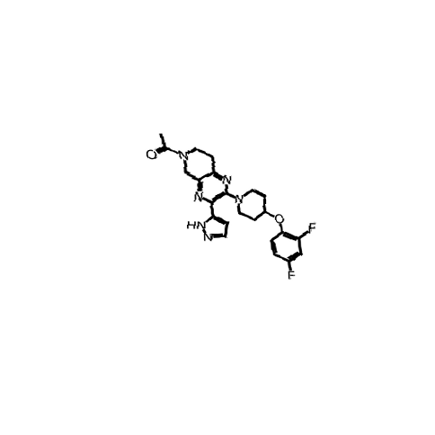 CC(=O)N1CCc2nc(N3CCC(Oc4ccc(F)cc4F)CC3)c(-c3ccn[nH]3)nc2C1